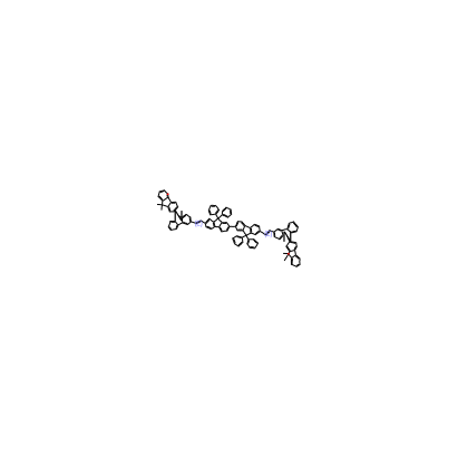 CC1(C)c2ccccc2-c2ccc(-n3c4ccccc4c4cc(/C=C/c5ccc6c(c5)C(c5ccccc5)(c5ccccc5)c5cc(-c7ccc8c(c7)C(c7ccccc7)(c7ccccc7)c7cc(/C=C/c9ccc%10c(c9)c9ccccc9n%10-c9ccc%10c(c9)C(C)(C)c9ccccc9-%10)ccc7-8)ccc5-6)ccc43)cc21